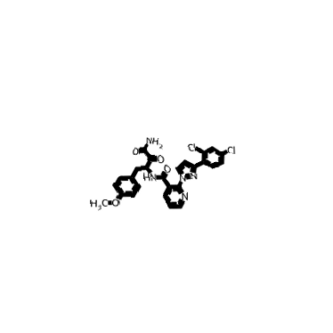 COc1ccc(CC(NC(=O)c2cccnc2-n2ccc(-c3ccc(Cl)cc3Cl)n2)C(=O)C(N)=O)cc1